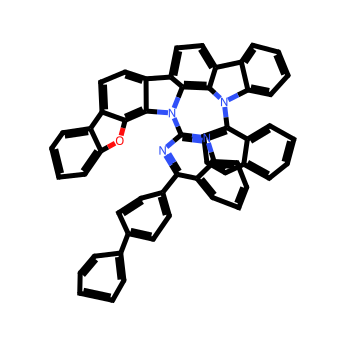 c1ccc(-c2ccc(-c3nc(-n4c5c(ccc6c7ccccc7oc65)c5ccc6c7ccccc7n(-c7cccc8ccccc78)c6c54)nc4ccccc34)cc2)cc1